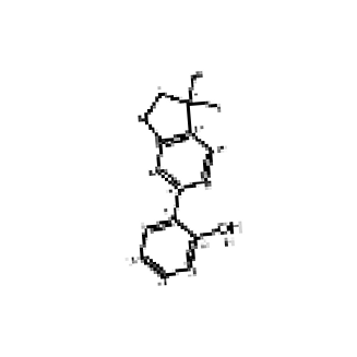 CC1(C)CCc2cc(-c3ccccc3O)ccc21